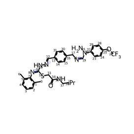 Cc1cccc(C)c1/N=C(/N/N=C/c1ccc(C/N=C\N(N)c2ccc(OC(F)(F)F)cc2)cc1)SCC(=O)NCC(C)C